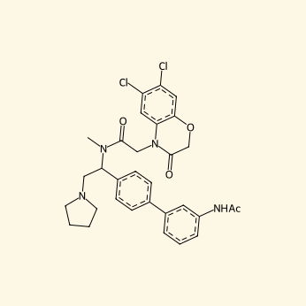 CC(=O)Nc1cccc(-c2ccc(C(CN3CCCC3)N(C)C(=O)CN3C(=O)COc4cc(Cl)c(Cl)cc43)cc2)c1